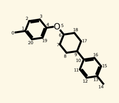 Cc1ccc(OC2CCC(c3ccc(C)cc3)CC2)cc1